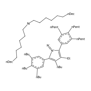 CCCCCCCCCCCCCCC[CH2][Ni][CH2]CCCCCCCCCCCCCCC.CCCCCc1cc(C2=C(CC)C(CCCC)=C(c3cc(CCCC)c(CCCC)c(CCCC)c3)[N+]2=[N-])cc(CCCCC)c1CCCCC